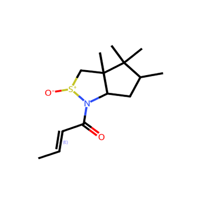 C/C=C/C(=O)N1C2CC(C)C(C)(C)C2(C)C[S+]1[O-]